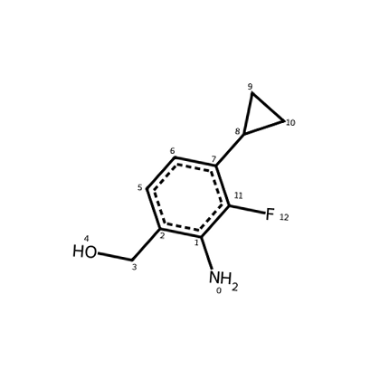 Nc1c(CO)ccc(C2CC2)c1F